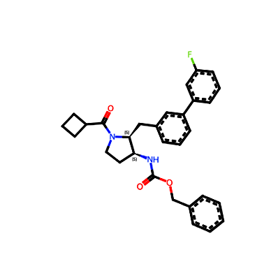 O=C(N[C@H]1CCN(C(=O)C2CCC2)[C@H]1Cc1cccc(-c2cccc(F)c2)c1)OCc1ccccc1